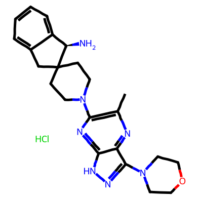 Cc1nc2c(N3CCOCC3)n[nH]c2nc1N1CCC2(CC1)Cc1ccccc1[C@H]2N.Cl